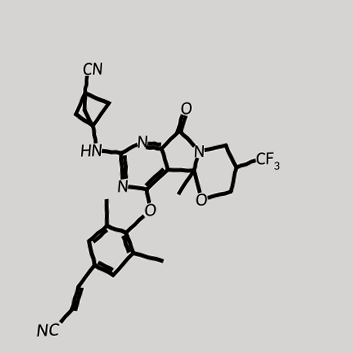 Cc1cc(/C=C/C#N)cc(C)c1Oc1nc(NC23CC(C#N)(C2)C3)nc2c1C1(C)OCC(C(F)(F)F)CN1C2=O